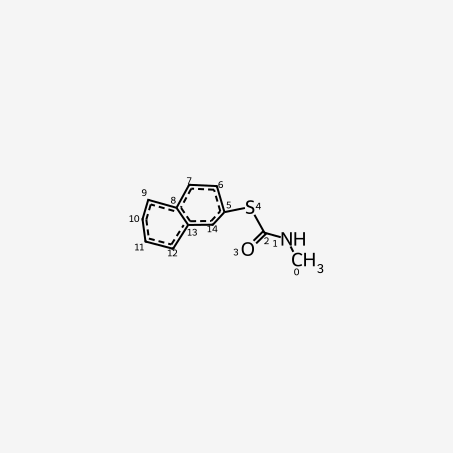 CNC(=O)Sc1ccc2ccccc2c1